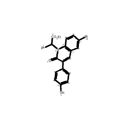 CCOC(=O)C(C(C)C)n1c(=O)c(-c2ccc(O)cc2)cc2cc(Br)ccc21